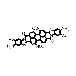 CC(=O)c1cc2c(cc1N)nc1c3cc([N+](=O)[O-])c4c5ccc6c(=O)n7c8cc(C(C)=O)c(N)cc8nc7c7cc([N+](=O)[O-])c(c8ccc(c(=O)n21)c3c84)c5c67